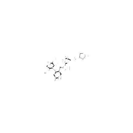 COc1cnc(Cl)cc1-c1cc(C)ncc1C(=O)Nc1nnc(OC[C@H]2CO[C@@H](C)C2)s1